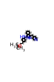 CC(C)OCCc1ccc(Nc2nnc(Cc3ccncc3)c3ccccc23)cc1